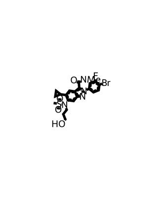 CNC(=O)c1c2cc(C3CC3)c(N(CCCO)S(C)(=O)=O)cc2nn1-c1ccc(Br)c(F)c1